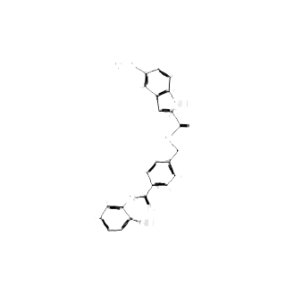 CNc1ccc2[nH]c(C(=O)NCc3ccc(C(=O)Nc4ccccc4N)cc3)cc2c1